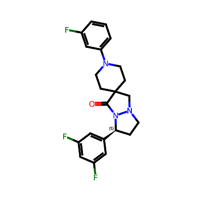 O=C1N2[C@H](c3cc(F)cc(F)c3)CCN2CC12CCN(c1cccc(F)c1)CC2